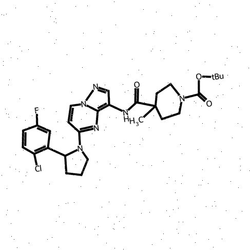 CC(C)(C)OC(=O)N1CCC(C)(C(=O)Nc2cnn3ccc(N4CCCC4c4cc(F)ccc4Cl)nc23)CC1